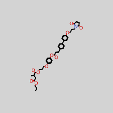 C=C(CC(=O)OCCC)C(=O)OCCCOc1ccc(OC(=O)/C=C/c2ccc(-c3ccc(OCCCN4C(=O)C=CC4=O)cc3)cc2)cc1